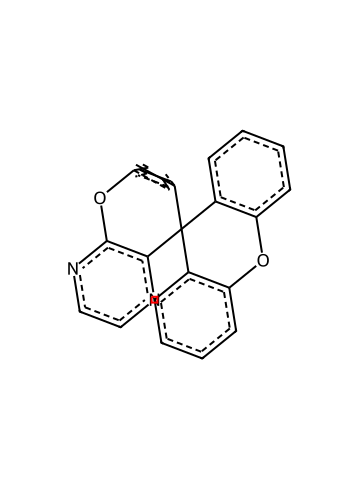 c1ccc2c(c1)Oc1ccccc1C21c2ccccc2Oc2nccnc21